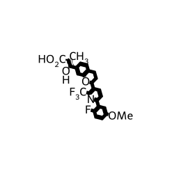 COc1ccc(F)c(-c2ccc(C3CCc4ccc([C@H](O)[C@H](C)C(=O)O)cc4O3)c(C(F)(F)F)n2)c1